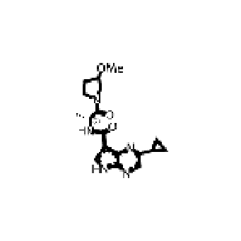 COC1CCN(C(=O)[C@@H](C)NC(=O)c2c[nH]c3ncc(C4CC4)nc23)C1